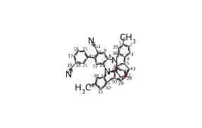 Cc1ccc2c3c(n(-c4cc(C#N)c(-c5cccc(C#N)c5)cc4-n4c5ccccc5c5ccc(C)cc54)c2c1)CCC=C3